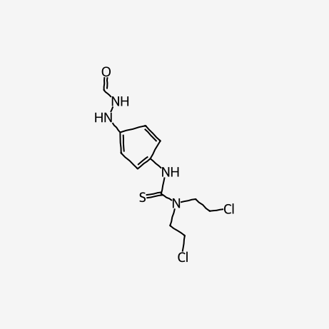 O=CNNc1ccc(NC(=S)N(CCCl)CCCl)cc1